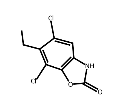 CCc1c(Cl)cc2[nH]c(=O)oc2c1Cl